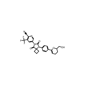 N#Cc1ncc(N2C(=O)N(c3ccc(C4=CCCC(CO)O4)cc3)C3(CCC3)C2=O)cc1C(F)(F)F